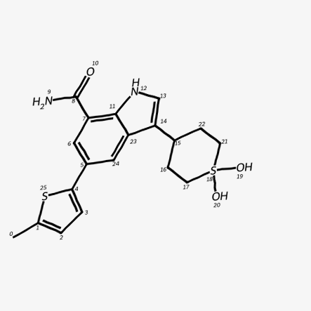 Cc1ccc(-c2cc(C(N)=O)c3[nH]cc(C4CCS(O)(O)CC4)c3c2)s1